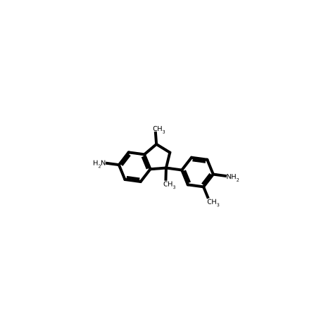 Cc1cc(C2(C)CC(C)c3cc(N)ccc32)ccc1N